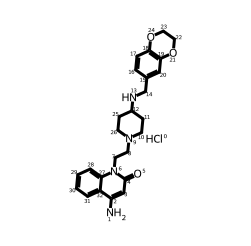 Cl.Nc1cc(=O)n(CCN2CCC(NCc3ccc4c(c3)OCCO4)CC2)c2ccccc12